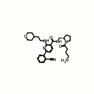 N#Cc1ccccc1-c1ccc(C(=O)NC[C@H]2CCCN2C(=O)CCCN)c(NCCC2CCOCC2)n1